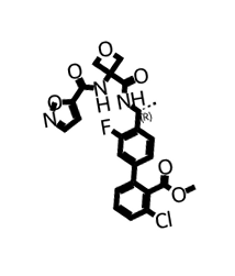 COC(=O)c1c(Cl)cccc1-c1ccc([C@@H](C)NC(=O)C2(NC(=O)c3ccno3)COC2)c(F)c1